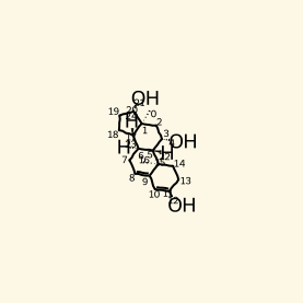 C[C@]12C[C@H](O)[C@H]3[C@@H](CC=C4C=C(O)CC[C@@]43C)[C@@H]1CC[C@@H]2O